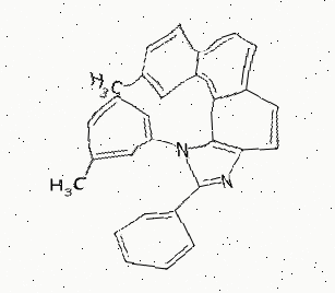 Cc1cccc(-n2c(-c3ccccc3)nc3ccc4ccc5ccc(C)cc5c4c32)c1